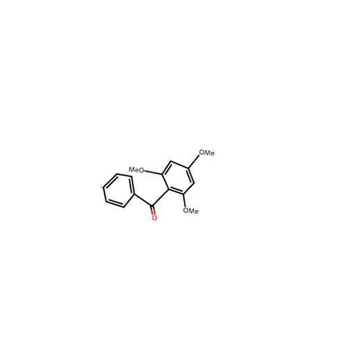 COc1cc(OC)c(C(=O)c2cc[c]cc2)c(OC)c1